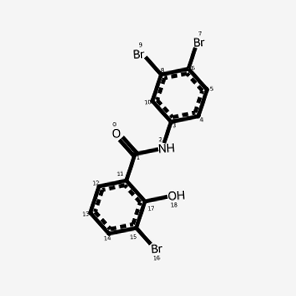 O=C(Nc1ccc(Br)c(Br)c1)c1cccc(Br)c1O